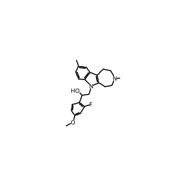 COc1ccc(C(O)Cn2c3c(c4cc(C)ccc42)CCN(C)CC3)c(F)c1